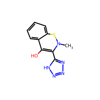 CN1Sc2ccccc2C(O)=C1c1nnn[nH]1